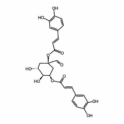 O=C[C@@]1(OC(=O)/C=C/c2ccc(O)c(O)c2)C[C@@H](O)[C@H](O)[C@H](OC(=O)/C=C/c2ccc(O)c(O)c2)C1